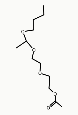 CCCCOC(C)OCCOCCOC(C)=O